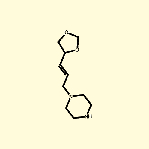 C(=CC1COCO1)CN1CCNCC1